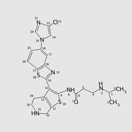 CC(C)NCCC(=O)Nc1sc2c(c1-c1nc3cc(-n4cnc(Cl)c4)ccc3s1)CCNC2